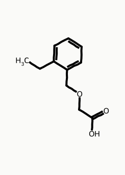 CCc1ccccc1COCC(=O)O